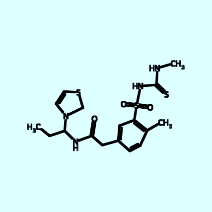 CCC(NC(=O)Cc1ccc(C)c(S(=O)(=O)NC(=S)NC)c1)N1C=CSC1